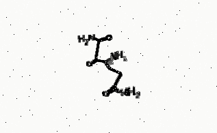 NC(=O)CC[C@H](N)C(=O)C(N)=O